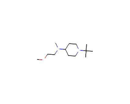 COCCN(C)C1CCN(C(C)(C)C)CC1